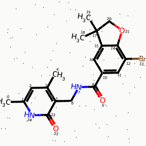 Cc1cc(C)c(CNC(=O)c2cc(Br)c3c(c2)C(C)(C)CO3)c(=O)[nH]1